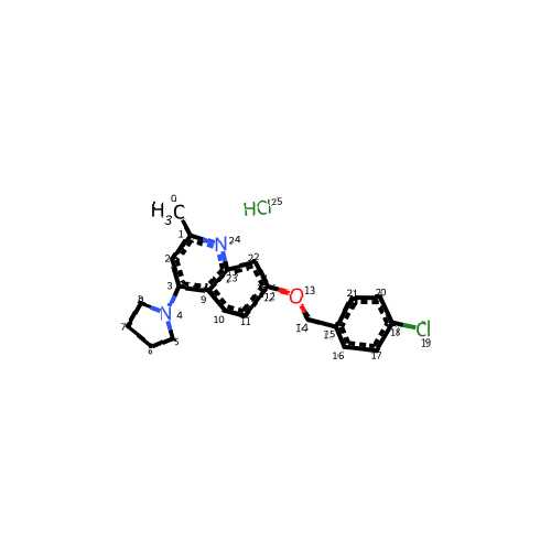 Cc1cc(N2CCCC2)c2ccc(OCc3ccc(Cl)cc3)cc2n1.Cl